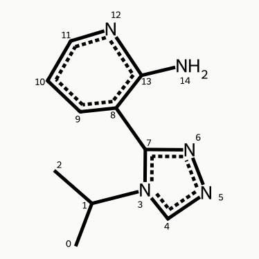 CC(C)n1cnnc1-c1cccnc1N